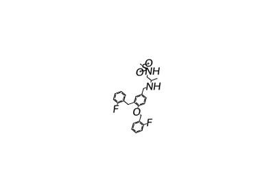 CC(CNS(C)(=O)=O)NCc1ccc(OCc2ccccc2F)c(Cc2ccccc2F)c1